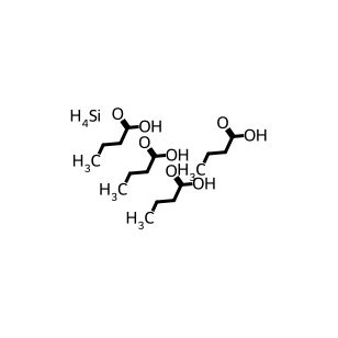 CCCC(=O)O.CCCC(=O)O.CCCC(=O)O.CCCC(=O)O.[SiH4]